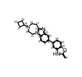 C=C1Nc2cc(-c3ccc4c(c3)nc3n4CCN(C4CCC4)CC3)ccc2O1